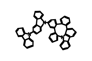 c1ccc2c(c1)c1ccc(-n3c4ccccc4c4cc(-n5c6ccccc6c6ccccc65)ccc43)cc1c1ccccc1n1c3ccccc3c3cccc2c31